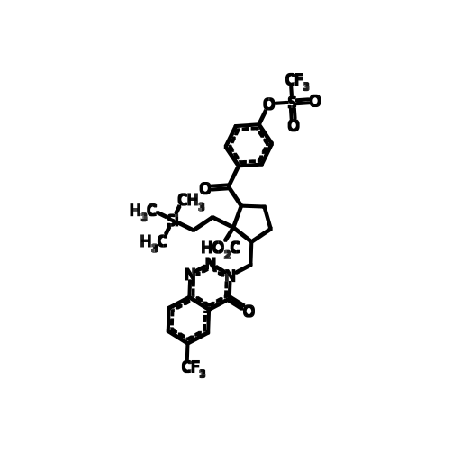 C[Si](C)(C)CCC1(C(=O)O)C(Cn2nnc3ccc(C(F)(F)F)cc3c2=O)CCC1C(=O)c1ccc(OS(=O)(=O)C(F)(F)F)cc1